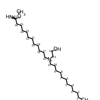 CCCCCCCCCCCCN(CCO)CCCCCCCCCCCC(=N)OC